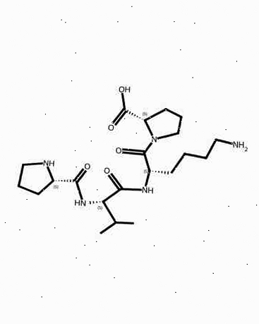 CC(C)[C@H](NC(=O)[C@@H]1CCCN1)C(=O)N[C@@H](CCCCN)C(=O)N1CCC[C@H]1C(=O)O